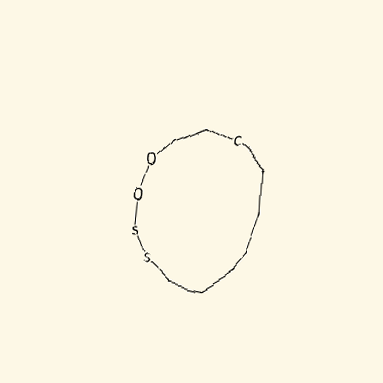 C1CCCCOOSSCCCC1